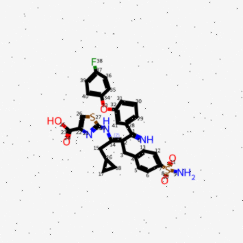 N=C(/C(Cc1ccc(S(N)(=O)=O)cc1)=C(/CC1CC1)Nc1nc(C(=O)O)cs1)c1cccc(Oc2ccc(F)cc2)c1